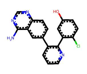 Nc1ncnc2ccc(-c3cccnc3-c3cc(O)ccc3Cl)cc12